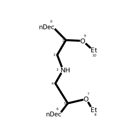 CCCCCCCCCCC(CNCC(CCCCCCCCCC)OCC)OCC